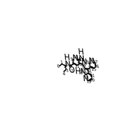 CCC(CC)NC(=O)c1cnc2[nH]nc(-c3[nH]c4ncccc4c3-c3cccnc3)c2c1